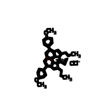 CCCC1=Cc2c(-c3ccc(OC)cc3)cccc2[CH]1[Zr+2]1([CH]2C(CCC)=Cc3c(-c4ccc(OC)cc4)cccc32)[CH2][CH2]1.[Cl-].[Cl-]